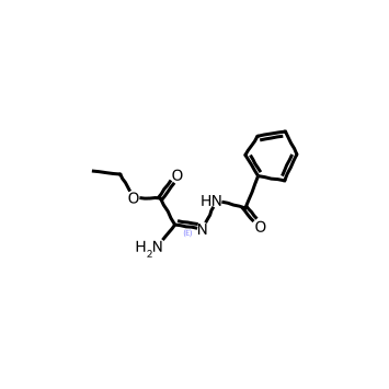 CCOC(=O)/C(N)=N\NC(=O)c1ccccc1